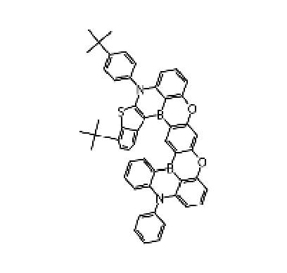 CC(C)(C)c1ccc(N2c3cccc4c3B(c3cc5c(cc3O4)Oc3cccc4c3B5c3ccccc3N4c3ccccc3)c3c2sc2c(C(C)(C)C)cccc32)cc1